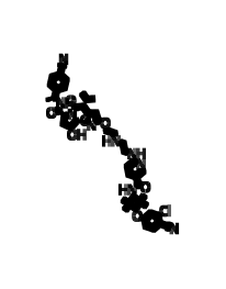 CC(C)[C@@H](C(=O)N1C[C@H](O)C[C@H]1C(=O)N[C@@H](C)c1ccc(C#N)cc1)c1cc(OCCNCCNc2ccc(C(=O)N[C@H]3C(C)(C)[C@H](Oc4ccc(C#N)c(Cl)c4)C3(C)C)cn2)no1